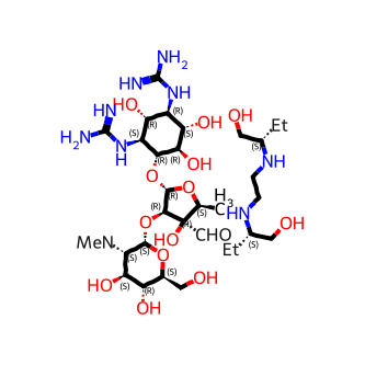 CC[C@@H](CO)NCCN[C@@H](CC)CO.CN[C@@H]1[C@H](O[C@H]2[C@H](O[C@H]3[C@H](O)[C@@H](O)[C@H](NC(=N)N)[C@@H](O)[C@@H]3NC(=N)N)O[C@@H](C)[C@]2(O)C=O)O[C@@H](CO)[C@H](O)[C@H]1O